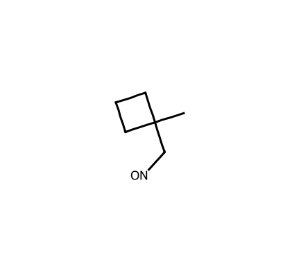 CC1(CN=O)CCC1